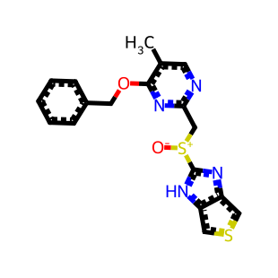 Cc1cnc(C[S+]([O-])c2nc3cscc3[nH]2)nc1OCc1ccccc1